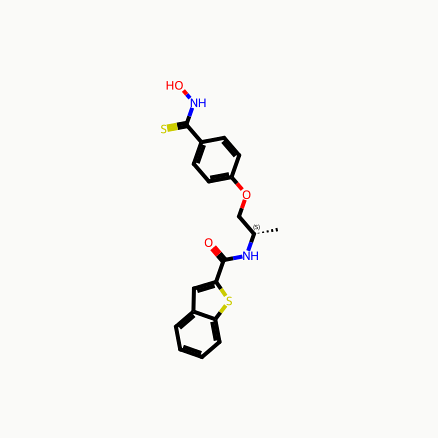 C[C@@H](COc1ccc(C(=S)NO)cc1)NC(=O)c1cc2ccccc2s1